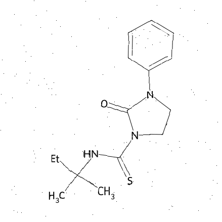 CCC(C)(C)NC(=S)N1CCN(c2ccccc2)C1=O